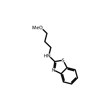 COCCCNc1nc2ccccc2s1